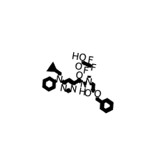 CN(CC(=O)OCc1ccccc1)NC(=O)c1cc(N(CC2CC2)C2CCCCC2)ncn1.O=C(O)C(F)(F)F